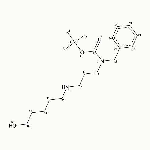 CC(C)(C)OC(=O)N(CCCNCCCCCO)Cc1ccccc1